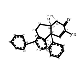 C[C@@H]1C(=O)C(C#N)=C[C@]2(c3ccccc3)c3[nH]nc(-c4ccccc4)c3CC[C@@H]12